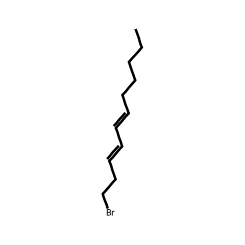 CCCCCC=CC=CCCBr